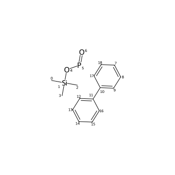 C[Si](C)(C)OP=O.c1ccc(-c2ccccc2)cc1